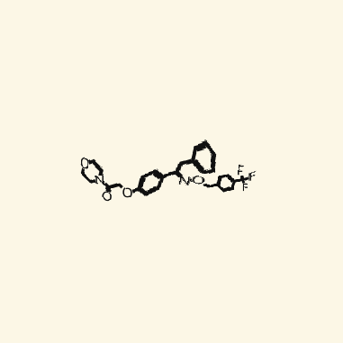 O=C(COc1ccc(/C(Cc2ccccc2)=N/OCc2ccc(C(F)(F)F)cc2)cc1)N1CCOCC1